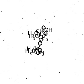 CC(C)N(CC[C@H](c1ccccc1)c1cc(CCCOc2ccc(CCN(C(=O)O)C(C)(C)C)cc2)ccc1O)C(C)C